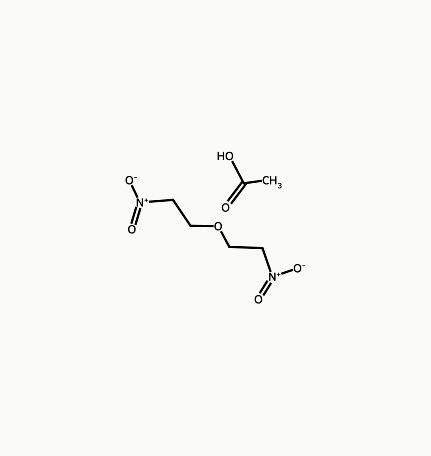 CC(=O)O.O=[N+]([O-])CCOCC[N+](=O)[O-]